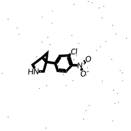 O=[N+]([O-])c1ccc(C23CNCC2C3)cc1Cl